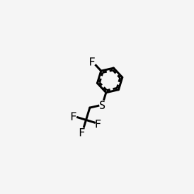 Fc1cccc(SCC(F)(F)F)c1